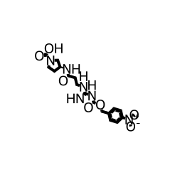 N=C(NCCC(=O)N[C@H]1CCN(C(=O)O)C1)NC(=O)OCc1ccc([N+](=O)[O-])cc1